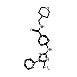 Nc1nc(Nc2ccc(C(=O)NCC3CCOCC3)cc2)nn1-c1ccccn1